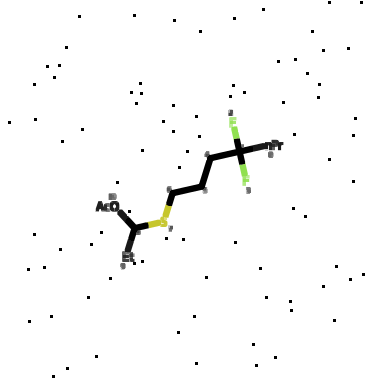 CCCC(F)(F)CCCSC(CC)OC(C)=O